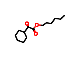 CCCCCCOC(=O)C(=O)C1CCCCC1